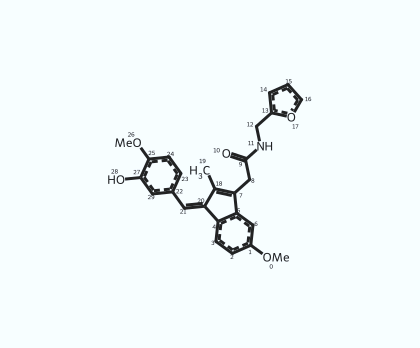 COc1ccc2c(c1)C(CC(=O)NCc1ccco1)=C(C)C2=Cc1ccc(OC)c(O)c1